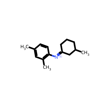 Cc1ccc(/N=C2\CCCC(C)C2)c(C)c1